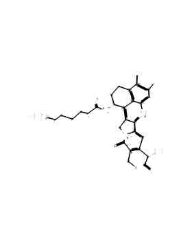 CC[C@H]1C(=O)OCc2c1cc1n(c2=O)Cc2c-1nc1cc(F)c(C)c3c1c2[C@@H](NC(=O)CCCCCN)CC3